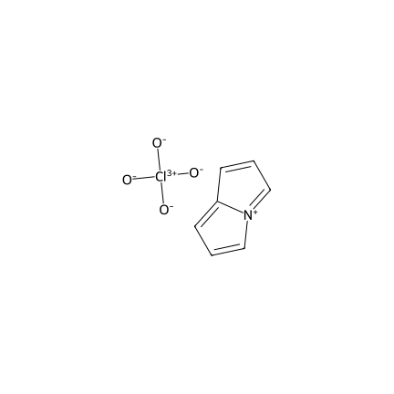 C1=CC2=CC=C[N+]2=C1.[O-][Cl+3]([O-])([O-])[O-]